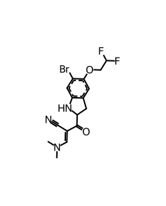 CN(C)/C=C(\C#N)C(=O)C1Cc2cc(OCC(F)F)c(Br)cc2N1